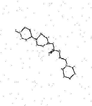 CN1CCC(N2CCN(CC(=O)OCCN3CCCCC3)CC2)CC1